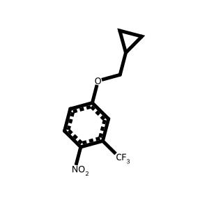 O=[N+]([O-])c1ccc(OCC2CC2)cc1C(F)(F)F